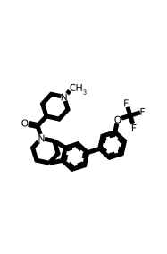 CN1CCC(C(=O)N2CCC3CC2c2cc(-c4cccc(OC(F)(F)F)c4)ccc23)CC1